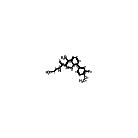 CCCNC(=O)c1nnc2c(-c3ccc(OC)c(F)c3)cccc2c1N